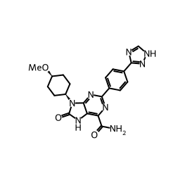 CO[C@H]1CC[C@@H](n2c(=O)[nH]c3c(C(N)=O)nc(-c4ccc(-c5nc[nH]n5)cc4)nc32)CC1